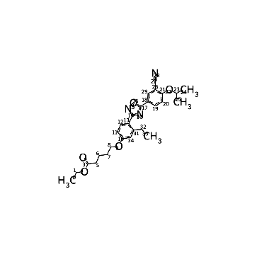 CCOC(=O)CCCCOc1ccc(-c2noc(-c3ccc(OC(C)C)c(C#N)c3)n2)c(CC)c1